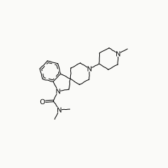 CN1CCC(N2CCC3(CC2)CN(C(=O)N(C)C)c2ccccc23)CC1